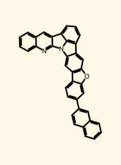 c1ccc2cc(-c3ccc4c(c3)oc3cc5c6cccc7c8cc9ccccc9nc8n(c5cc34)c67)ccc2c1